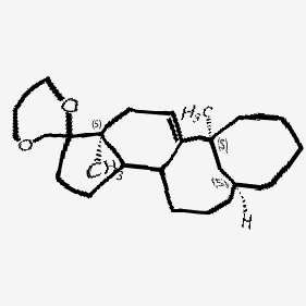 C[C@]12CC=C3C(CC[C@@H]4CCCC[C@]34C)C1CCC21OCCO1